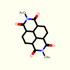 CC(=O)ON1C(=O)C2CCC3C(=O)N(OC(C)=O)C(=O)C4CCC(C1=O)C2C34